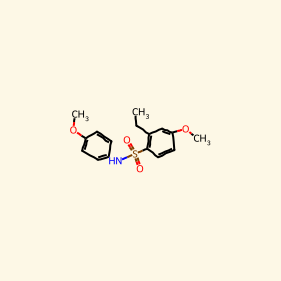 CCc1cc(OC)ccc1S(=O)(=O)Nc1ccc(OC)cc1